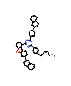 C/C=C\C=C/c1ccc(-c2nc(C3=CCC(c4ccc5ccccc5c4)C=C3)nc(-c3cccc4oc5cc(-c6ccc7ccccc7c6)ccc5c34)n2)cc1